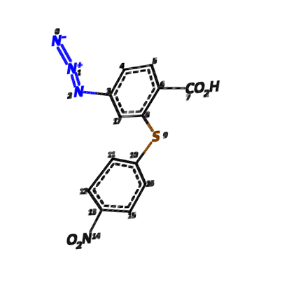 [N-]=[N+]=Nc1ccc(C(=O)O)c(Sc2ccc([N+](=O)[O-])cc2)c1